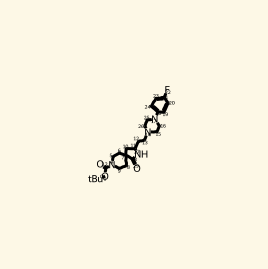 CC(C)(C)OC(=O)N1CCC2(CC1)CC(CCN1CCN(c3ccc(F)cc3)CC1)NC2=O